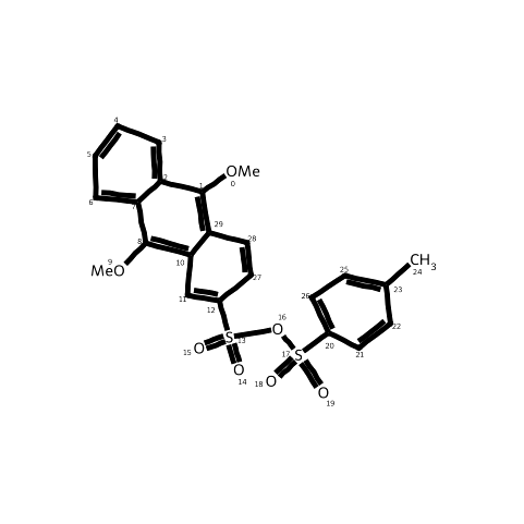 COc1c2ccccc2c(OC)c2cc(S(=O)(=O)OS(=O)(=O)c3ccc(C)cc3)ccc12